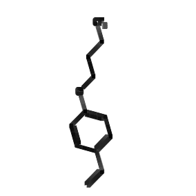 C=Cc1ccc(OCCCC(F)(F)F)cc1